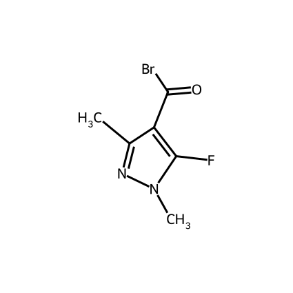 Cc1nn(C)c(F)c1C(=O)Br